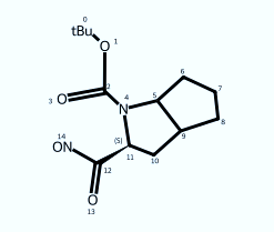 CC(C)(C)OC(=O)N1C2CCCC2C[C@H]1C(=O)N=O